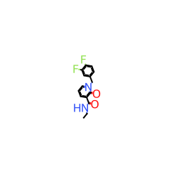 CCNC(=O)c1cccn(Cc2ccc(F)c(F)c2)c1=O